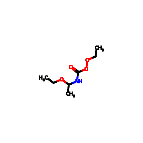 CCOOC(=O)NC(C)OCC